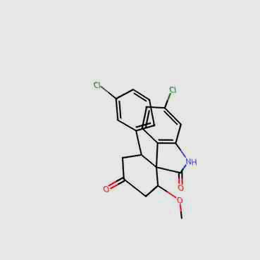 COC1CC(=O)CC(c2cccc(Cl)c2)C12C(=O)Nc1cc(Cl)ccc12